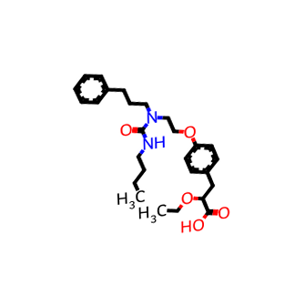 CCCCNC(=O)N(CCCc1ccccc1)CCOc1ccc(CC(OCC)C(=O)O)cc1